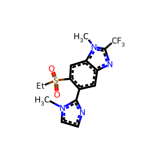 CCS(=O)(=O)c1cc2c(cc1-c1nccn1C)nc(C(F)(F)F)n2C